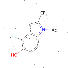 CC(=O)n1c(C(F)(F)F)cc2c(F)c(O)ccc21